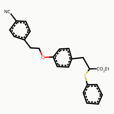 CCOC(=O)C(Cc1ccc(OCCc2ccc(C#N)cc2)cc1)Sc1ccccc1